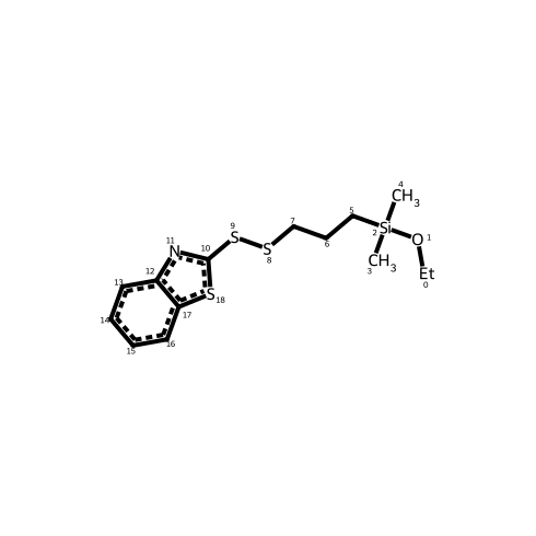 CCO[Si](C)(C)CCCSSc1nc2ccccc2s1